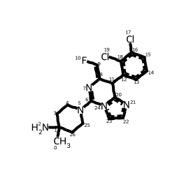 CC1(N)CCN(C2=NC(=CF)C(c3cccc(Cl)c3Cl)c3nccn32)CC1